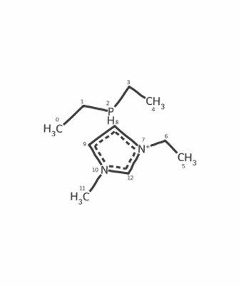 CCPCC.CC[n+]1ccn(C)c1